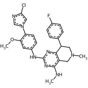 CNc1nc(Nc2ccc(-n3cnc(Cl)c3)c(OC)c2)nc2c1CN(C)CC2c1ccc(F)cc1